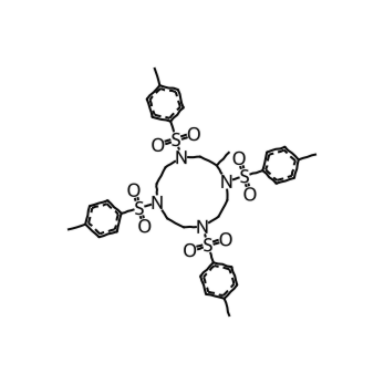 Cc1ccc(S(=O)(=O)N2CCN(S(=O)(=O)c3ccc(C)cc3)CCN(S(=O)(=O)c3ccc(C)cc3)C(C)CN(S(=O)(=O)c3ccc(C)cc3)CC2)cc1